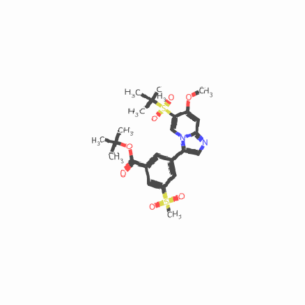 COc1cc2ncc(-c3cc(C(=O)OC(C)(C)C)cc(S(C)(=O)=O)c3)n2cc1S(=O)(=O)C(C)(C)C